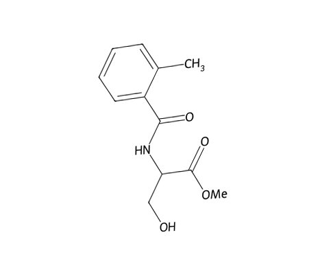 COC(=O)C(CO)NC(=O)c1ccccc1C